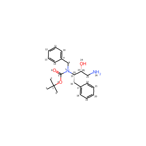 CC(C)(C)OC(=O)N(Cc1ccccc1)[C@@H](Cc1ccccc1)[C@H](O)CN